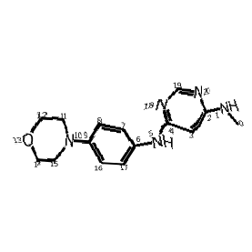 CNc1cc(Nc2ccc(N3CCOCC3)cc2)ncn1